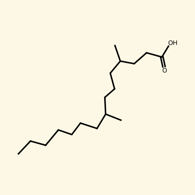 CCCCCCCC(C)CCCC(C)CCC(=O)O